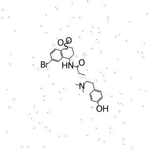 CN(C)[C@H](CCC(=O)NC1CCS(=O)(=O)c2ccc(Br)cc21)Cc1ccc(O)cc1